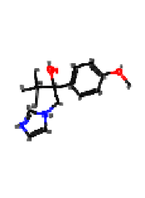 COc1ccc(C(O)(Cn2ccnc2)C(C)(C)C)cc1